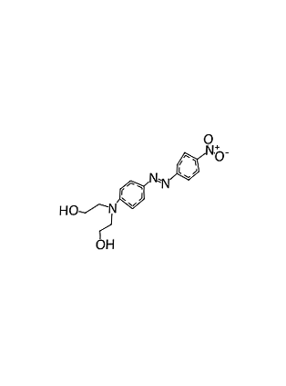 O=[N+]([O-])c1ccc(/N=N/c2ccc(N(CCO)CCO)cc2)cc1